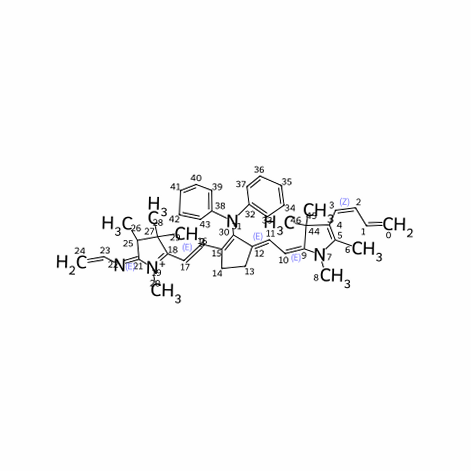 C=C/C=C\C1=C(C)N(C)/C(=C/C=C2\CCC(/C=C/C3=[N+](C)C(=N/C=C)/C(C)C3(C)C)=C2N(c2ccccc2)c2ccccc2)C1(C)C